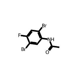 CC(=O)Nc1cc(Br)c(F)cc1Br